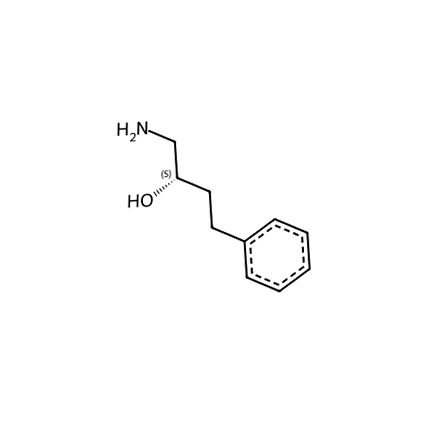 NC[C@@H](O)CCc1ccccc1